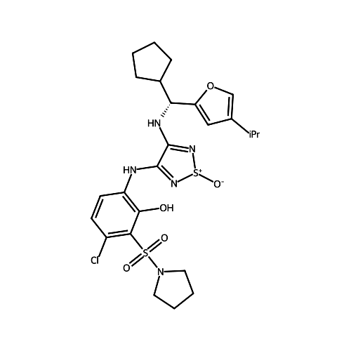 CC(C)c1coc([C@H](Nc2n[s+]([O-])nc2Nc2ccc(Cl)c(S(=O)(=O)N3CCCC3)c2O)C2CCCC2)c1